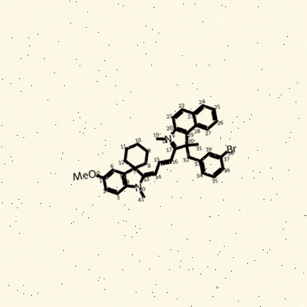 COc1ccc2c(c1)C1(CCCCC1)/C(=C\C=C\C1=[N+](C)c3ccc4ccccc4c3C1(C)Cc1cccc(Br)c1)N2C